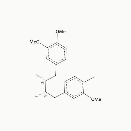 COc1cc(C[C@H](C)[C@H](C)Cc2ccc(OC)c(OC)c2)ccc1C